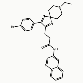 CCN1CCC2(CC1)N=C(SCC(=O)Nc1cnc3ccccc3c1)C(c1ccc(Br)cc1)=N2